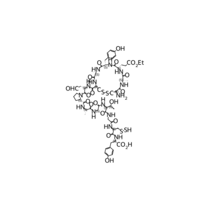 CCOC(=O)CC[C@@H]1NC(=O)[C@H](C)NC(=O)[C@@H](N)CSSC[C@@H](C(=O)N[C@@H](CC=O)C(=O)N2CCC[C@H]2C(=O)N[C@@H](C)C(=O)N[C@@H](C)C(=O)N[C@H](C(=O)NCC(=O)N[C@@H](CSS)C(=O)N[C@@H](Cc2ccc(O)cc2)C(=O)O)[C@H](C)O)NC(=O)[C@H](C)NC(=O)[C@H](Cc2ccc(O)cc2)NC1=O